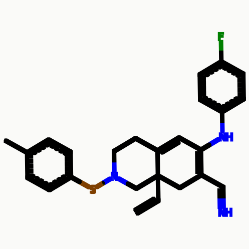 C=CC12CC(C=N)=C(Nc3ccc(F)cc3)C=C1CCN(Sc1ccc(C)cc1)C2